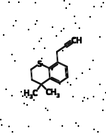 C#CCc1cccc2c1SCCC2(C)C